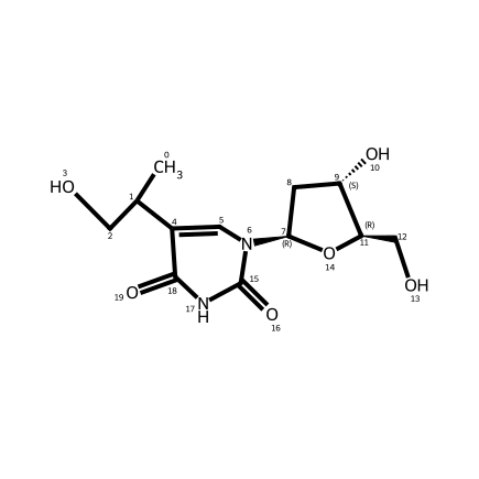 CC(CO)c1cn([C@H]2C[C@H](O)[C@@H](CO)O2)c(=O)[nH]c1=O